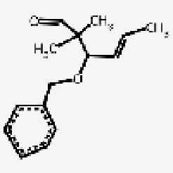 CC=CC(OCc1ccccc1)C(C)(C)C=O